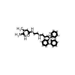 CN(CC(=O)NCCNCCC[PH](c1ccccc1)(c1ccccc1)c1ccccc1)C(=N)N